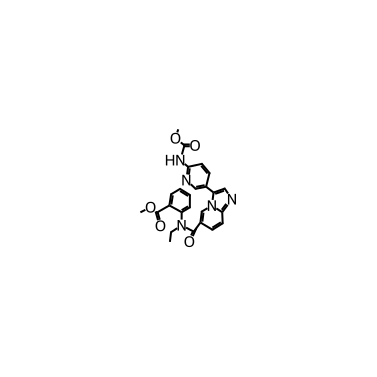 CCN(C(=O)c1ccc2ncc(-c3ccc(NC(=O)OC)nc3)n2c1)c1ccccc1C(=O)OC